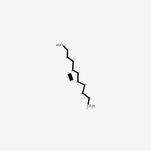 C#C.CCCCCCCCCCCCCCCCCC(=O)O